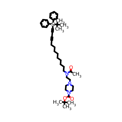 CC(=O)N(CCCCCCCCCC#CC#C[Si](c1ccccc1)(c1ccccc1)C(C)(C)C)CCN1CCN(C(=O)OC(C)(C)C)CC1